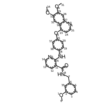 COc1cccc(CNC(=O)c2cccnc2Nc2ccc(Oc3ccnc4cc(OC)c(OC)cc34)cc2)c1